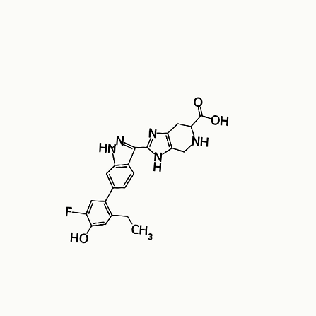 CCc1cc(O)c(F)cc1-c1ccc2c(-c3nc4c([nH]3)CNC(C(=O)O)C4)n[nH]c2c1